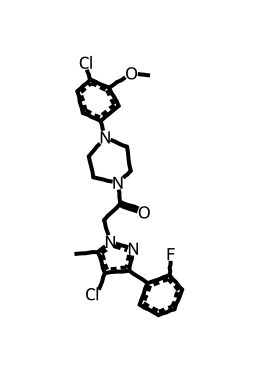 COc1cc(N2CCN(C(=O)Cn3nc(-c4ccccc4F)c(Cl)c3C)CC2)ccc1Cl